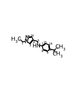 CCn1cc(CNc2ccc(C(C)C)cc2)cn1